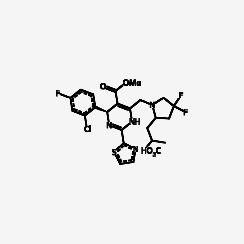 COC(=O)C1=C(CN2CC(F)(F)CC2CC(C)C(=O)O)NC(c2nccs2)=N[C@H]1c1ccc(F)cc1Cl